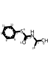 CC(I)NC(=O)Sc1ccccc1